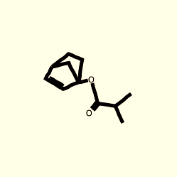 CC(C)C(=O)OC12C=CC(CC1)C2